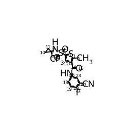 Cc1sc(S(=O)(=O)NC2(C(F)(F)F)CC2)cc1C(=O)Nc1ccc(F)c(C#N)c1